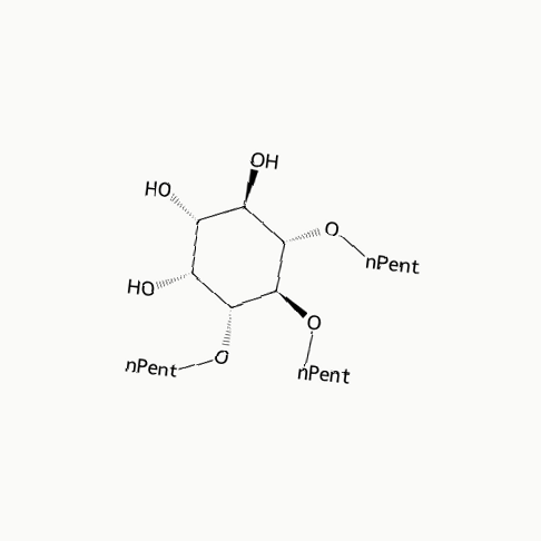 CCCCCO[C@H]1[C@H](OCCCCC)[C@H](O)[C@H](O)[C@@H](O)[C@@H]1OCCCCC